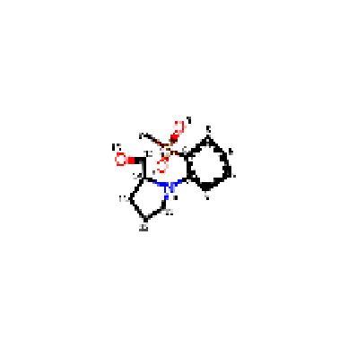 CS(=O)(=O)c1ccccc1N1CCCC1C=O